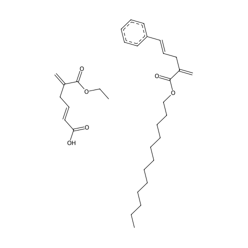 C=C(CC=CC(=O)O)C(=O)OCC.C=C(CC=Cc1ccccc1)C(=O)OCCCCCCCCCCCC